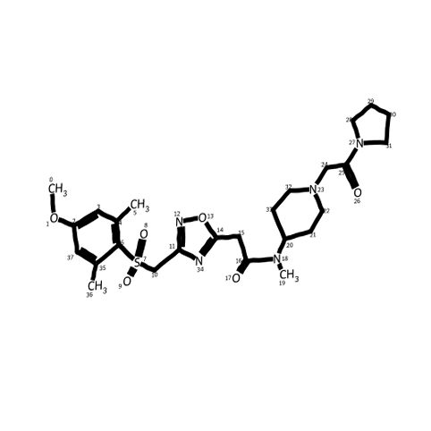 COc1cc(C)c(S(=O)(=O)Cc2noc(CC(=O)N(C)C3CCN(CC(=O)N4CCCC4)CC3)n2)c(C)c1